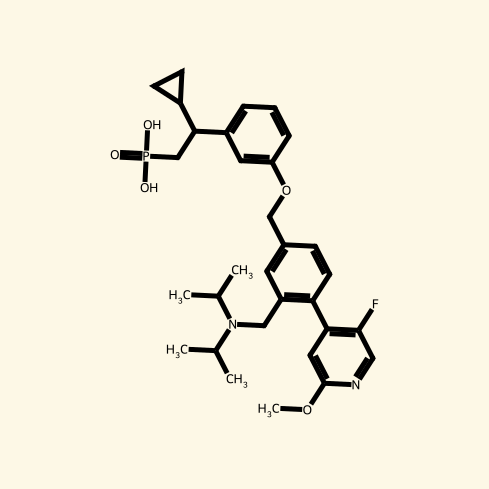 COc1cc(-c2ccc(COc3cccc(C(CP(=O)(O)O)C4CC4)c3)cc2CN(C(C)C)C(C)C)c(F)cn1